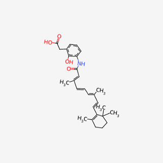 CC(C=CC1=C(C)CCCC1(C)C)=CC=CC(C)=CC(=O)Nc1cccc(CC(=O)O)c1O